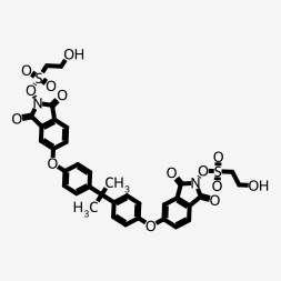 CC(C)(c1ccc(Oc2ccc3c(c2)C(=O)N(OS(=O)(=O)CCO)C3=O)cc1)c1ccc(Oc2ccc3c(c2)C(=O)N(OS(=O)(=O)CCO)C3=O)cc1